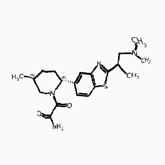 CC(CN(C)C)c1nc2cc([C@H]3CC[C@H](C)CN3C(=O)C(N)=O)ccc2s1